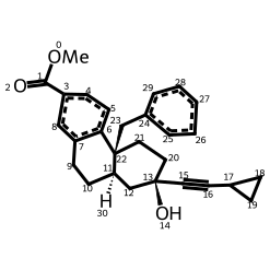 COC(=O)c1ccc2c(c1)CC[C@@H]1C[C@@](O)(C#CC3CC3)CC[C@@]21Cc1ccccc1